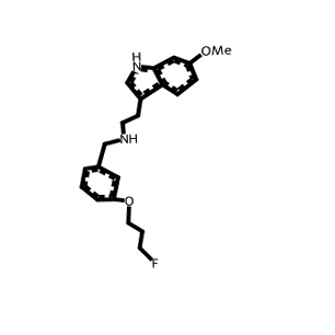 COc1ccc2c(CCNCc3cccc(OCCCF)c3)c[nH]c2c1